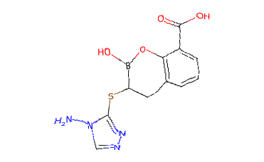 Nn1cnnc1SC1Cc2cccc(C(=O)O)c2OB1O